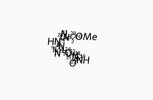 COC1CC(n2cc(Nc3ccnc(-c4ccc(N5CCNC5=O)cc4)n3)cn2)C1